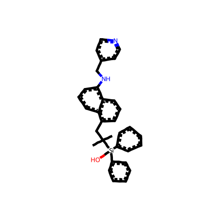 CC(C)(Cc1cccc2c(NCc3ccncc3)cccc12)[Si](O)(c1ccccc1)c1ccccc1